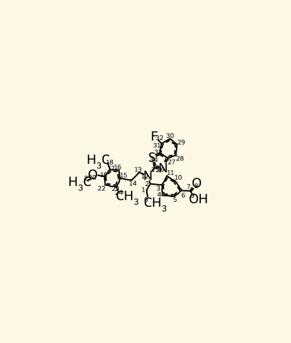 CCC(c1ccc(C(=O)O)cc1)N(CCc1cc(C)c(OC)cc1C)c1nc2cccc(F)c2s1